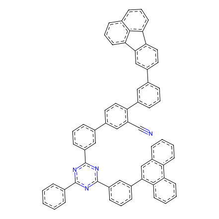 N#Cc1cc(-c2cccc(-c3nc(-c4ccccc4)nc(-c4cccc(-c5cc6ccccc6c6ccccc56)c4)n3)c2)ccc1-c1cccc(-c2ccc3c(c2)-c2cccc4cccc-3c24)c1